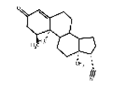 C[C@H]1CC(=O)C=C2CCC3C4CC[C@H](C#N)[C@@]4(C)CCC3[C@]21C